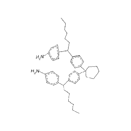 CCCCCCC(c1ccc(N)cc1)c1ccc(C2(c3ccc(C(CCCCCC)c4ccc(N)cc4)cc3)CCCCC2)cc1